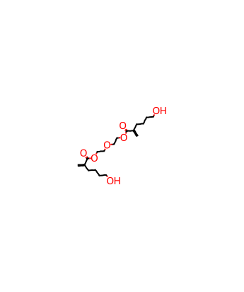 C=C(CCCCO)C(=O)OCCOCCOC(=O)C(=C)CCCCO